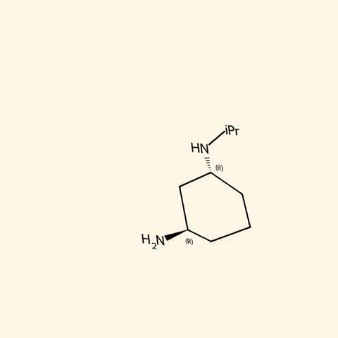 CC(C)N[C@@H]1CCC[C@@H](N)C1